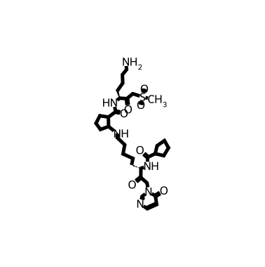 CS(=O)(=O)CC(=O)[C@H](CCCCN)NC(=O)C1CCCC1NCCCCC[C@H](NC(=O)C1CCCC1)C(=O)Cn1cnccc1=O